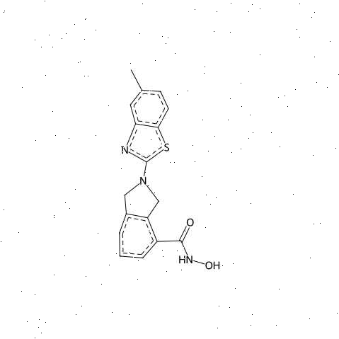 Cc1ccc2sc(N3Cc4cccc(C(=O)NO)c4C3)nc2c1